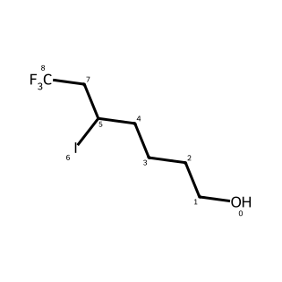 OCCCCC(I)CC(F)(F)F